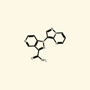 NC(=O)c1nn(-c2cnn3cccnc23)c2ccncc12